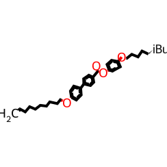 C=CCCCCCCCCOc1ccc(-c2ccc(C(=O)Oc3ccc(OCCCCC[C@@H](C)CC)cc3)cc2)cc1